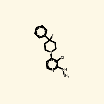 NNc1nccc(N2CCC(F)(c3ccccc3)CC2)c1Cl